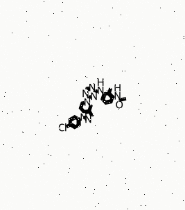 CC(=O)Nc1cccc(Nc2ncnc(N3CCc4c(cnn4-c4ccc(Cl)cc4)C3)n2)c1C